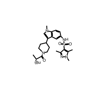 Cc1nn(C)c(C)c1S(=O)(=O)Nc1ccc2c(c1)c(C1CCN(C(=O)[C@H](C)C(C)(C)C)CC1)cn2C